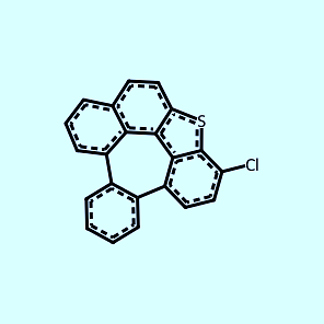 Clc1ccc2c3c1sc1ccc4cccc(c4c13)-c1ccccc1-2